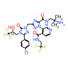 CC(C)(N)CNC(=O)c1nc(Cn2nc(-c3ccc(Cl)cc3)n(C[C@H](O)C(F)(F)F)c2=O)nn1-c1cnccc1C(=O)NCC(F)(F)F